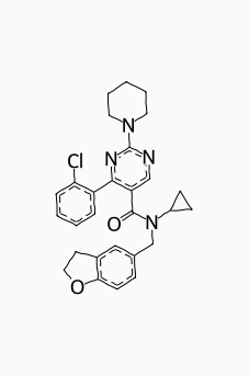 O=C(c1cnc(N2CCCCC2)nc1-c1ccccc1Cl)N(Cc1ccc2c(c1)CCO2)C1CC1